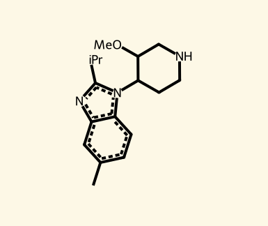 COC1CNCCC1n1c(C(C)C)nc2cc(C)ccc21